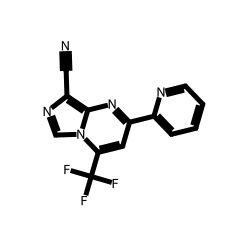 N#Cc1ncn2c(C(F)(F)F)cc(-c3ccccn3)nc12